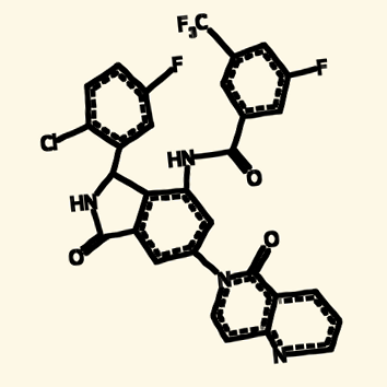 O=C(Nc1cc(-n2ccc3ncccc3c2=O)cc2c1C(c1cc(F)ccc1Cl)NC2=O)c1cc(F)cc(C(F)(F)F)c1